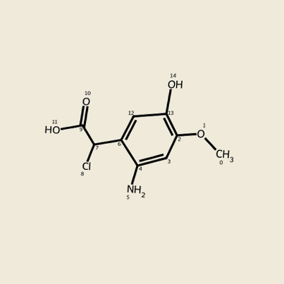 COc1cc(N)c(C(Cl)C(=O)O)cc1O